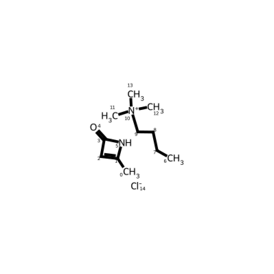 CC1=CC(=O)N1.CCCC[N+](C)(C)C.[Cl-]